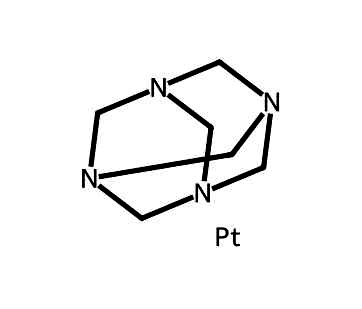 C1N2CN3CN1CN(C2)C3.[Pt]